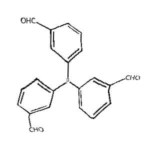 O=Cc1cccc(P(c2cccc(C=O)c2)c2cccc(C=O)c2)c1